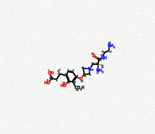 C[C@@H](CB(O)O)c1ccc(OC2CN(C[C@](C)(N)C(=O)NCCN)C2)c(C(=O)O)c1O